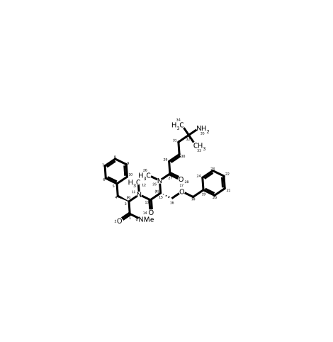 CNC(=O)[C@@H](Cc1ccccc1)N(C)C(=O)[C@@H](COCc1ccccc1)N(C)C(=O)C=CCC(C)(C)N